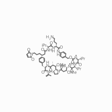 C=C(C)NC(=O)[C@H](Cc1ccccc1)NC(=O)[C@H](C)[C@@H](OC)[C@@H]1CCCN1C(=O)C[C@@H](OC)[C@H]([C@@H](C)CC)N(C)C(=O)[C@@H](NC(=O)[C@H](C(C)C)N(C)C(=O)OCc1ccc(NC(=O)[C@H](CCCN)NC(=O)[C@@H](NC(=O)CCCCCN2C(=O)C=CC2=O)C(C)C)cc1)C(C)C